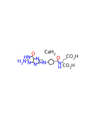 Nc1nc2ncc(CNc3ccc(C(=O)NC(CCC(=O)O)C(=O)O)cc3)nc2c(=O)[nH]1.[CaH2]